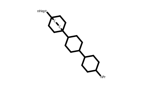 CCCCCCCC12CCC(C3CCC(C4CCC(CCC)CC4)CC3)(CC1)CC2